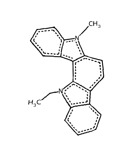 CCn1c2ccccc2c2ccc3c(c4ccccc4n3C)c21